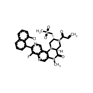 C=CC(=O)N1C[C@H]2C(=O)N(C)c3cnc4c(F)c(-c5cccc6cccc(Cl)c56)ncc4c3N2C[C@@H]1CS(C)(=O)=O